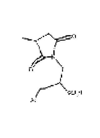 CC(=O)CC(CN1C(=O)CC(C)C1=O)S(=O)(=O)O